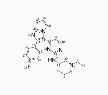 CCN1CCCC(Nc2nccc(-c3c(-c4ccc(F)cc4)nc4sccn34)n2)C1